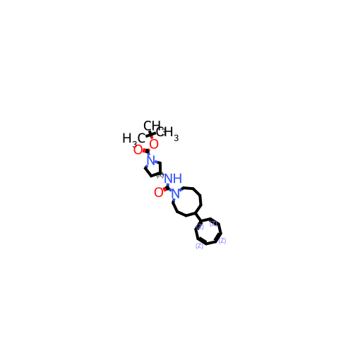 CC(C)(C)OC(=O)N1CC[C@@H](NC(=O)N2CCCCC(C3=C/C=C\C=C/C=C\3)CCC2)C1